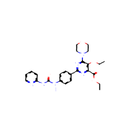 CCOC(=O)c1nc(-c2ccc(NC(=O)Nc3ccccn3)cc2)nc(N2CCOCC2)c1OCC